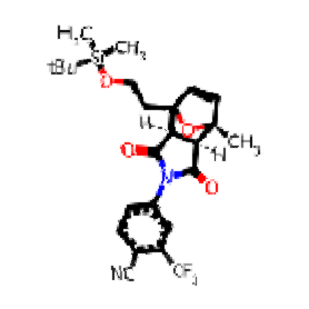 CC(C)(C)[Si](C)(C)OCCC12C=C[C@@](C)(O1)[C@H]1C(=O)N(c3ccc(C#N)c(C(F)(F)F)c3)C(=O)[C@H]12